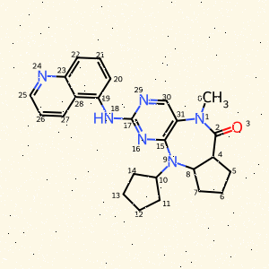 CN1C(=O)C2CCCC2N(C2CCCC2)c2nc(Nc3cccc4ncccc34)ncc21